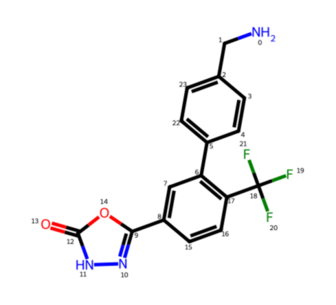 NCc1ccc(-c2cc(-c3n[nH]c(=O)o3)ccc2C(F)(F)F)cc1